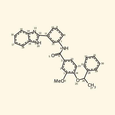 COc1cc(C(=O)Nc2cccc(-c3nc4ccccc4[nH]3)c2)ccc1OC(C)c1ccccc1